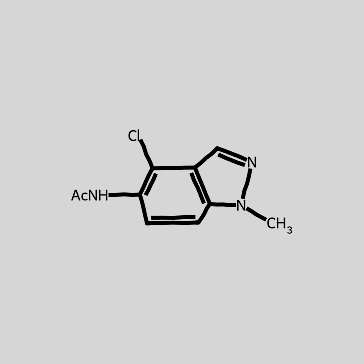 CC(=O)Nc1ccc2c(cnn2C)c1Cl